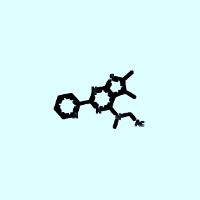 CC(=O)CN(C)c1nc(-c2ccccn2)nc2sc(C)c(C)c12